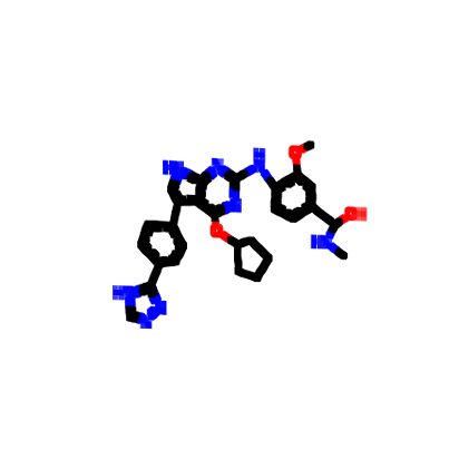 CNC(O)c1ccc(Nc2nc(OC3CCCC3)c3c(-c4ccc(-c5nnc[nH]5)cc4)c[nH]c3n2)c(OC)c1